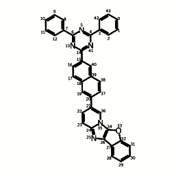 c1ccc(-c2nc(-c3ccccc3)nc(-c3ccc4cc(-c5ccc6nc7c8ccccc8oc7n6c5)ccc4c3)n2)cc1